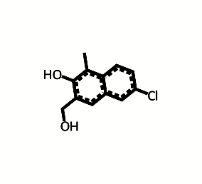 Cc1c(O)c(CO)cc2cc(Cl)ccc12